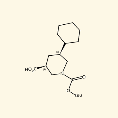 CC(C)(C)OC(=O)N1C[C@@H](C(=O)O)C[C@@H](C2CCCCC2)C1